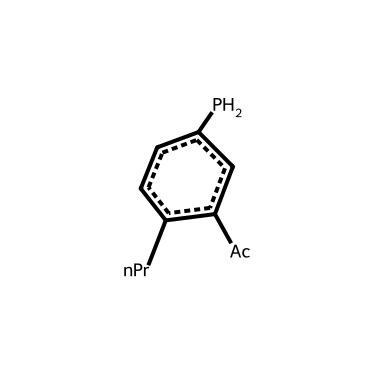 CCCc1ccc(P)cc1C(C)=O